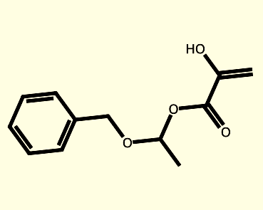 C=C(O)C(=O)OC(C)OCc1ccccc1